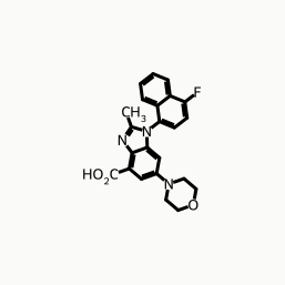 Cc1nc2c(C(=O)O)cc(N3CCOCC3)cc2n1-c1ccc(F)c2ccccc12